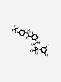 O=C(Nc1ccc(OC(F)(F)F)cc1)c1cc(NC(=O)[C@@H]2[C@@H](c3cc(Cl)cc(Cl)c3)C2(Cl)Cl)ccc1Cl